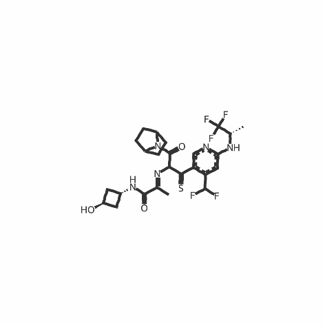 C/C(=N\C(C(=O)N1C2CCC1CC2)C(=S)c1cnc(N[C@@H](C)C(F)(F)F)cc1C(F)F)C(=O)N[C@H]1C[C@H](O)C1